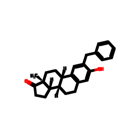 C[C@]12CC[C@@H]3c4cc(Cc5ccccc5)c(O)cc4CC[C@H]3[C@@H]1CCC2=O